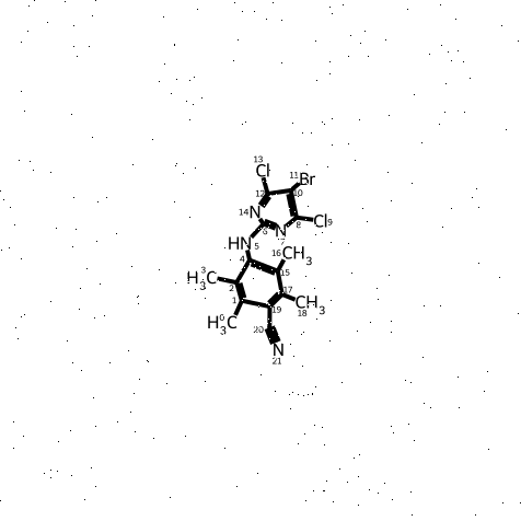 Cc1c(C)c(Nc2nc(Cl)c(Br)c(Cl)n2)c(C)c(C)c1C#N